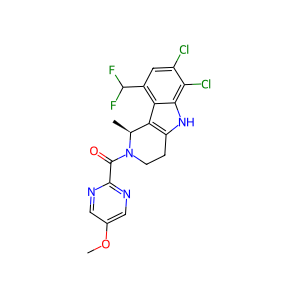 COc1cnc(C(=O)N2CCc3[nH]c4c(Cl)c(Cl)cc(C(F)F)c4c3[C@@H]2C)nc1